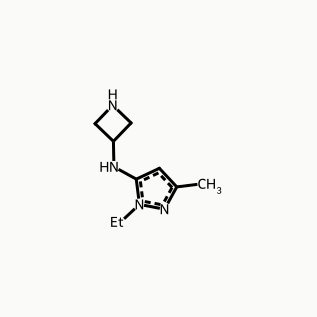 CCn1nc(C)cc1NC1CNC1